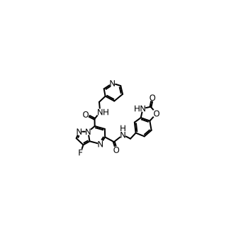 O=C(NCc1ccc2oc(=O)[nH]c2c1)c1cc(C(=O)NCc2cccnc2)n2ncc(F)c2n1